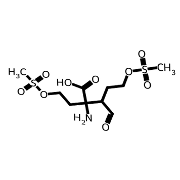 CS(=O)(=O)OCCC(C=O)C(N)(CCOS(C)(=O)=O)C(=O)O